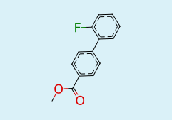 COC(=O)c1ccc(-c2ccccc2F)cc1